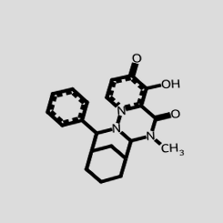 CN1C(=O)c2c(O)c(=O)ccn2N2C(c3ccccc3)C3CCCC(C3)C12